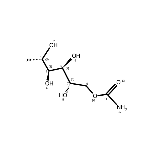 C[C@H](O)[C@H](O)[C@@H](O)[C@@H](O)COC(N)=O